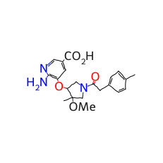 COC1(C)CN(C(=O)Cc2ccc(C)cc2)CC1Oc1cc(C(=O)O)cnc1N